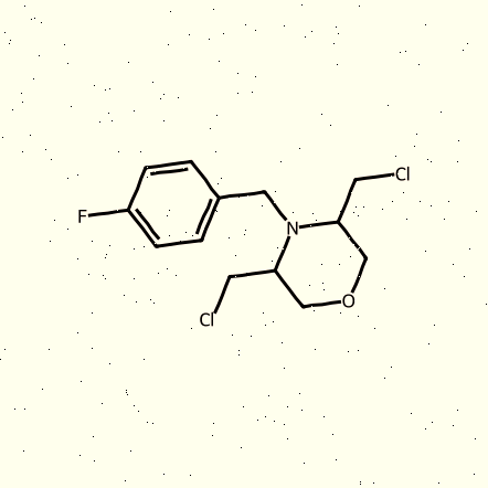 Fc1ccc(CN2C(CCl)COCC2CCl)cc1